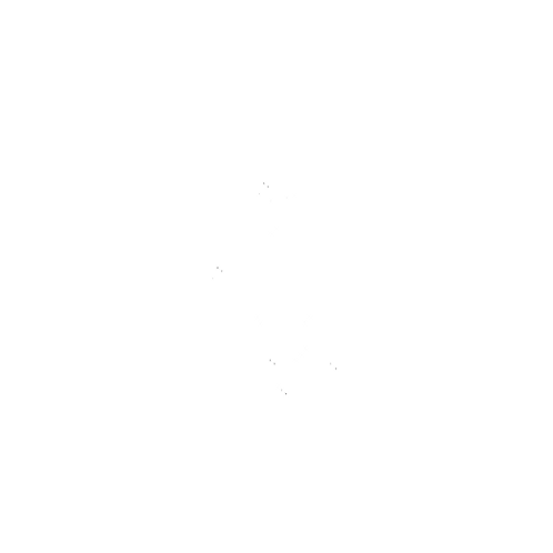 NCCc1ccc(-n2cnc3cnc4ccc(C#Cc5ccc(S(N)(=O)=O)cc5)cc4c32)cc1